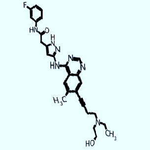 CCN(CCO)CCC#Cc1cc2ncnc(Nc3cc(CC(=O)Nc4cccc(F)c4)[nH]n3)c2cc1C